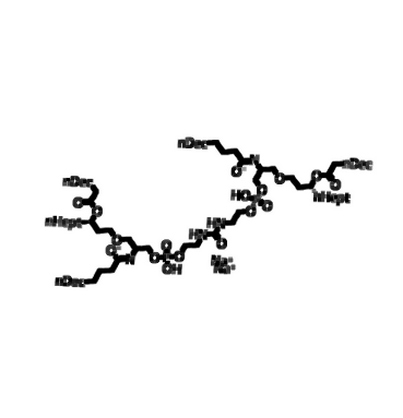 CCCCCCCCCCCCCC([O-])=NC(COCC[C@@H](CCCCCCC)OC(=O)CCCCCCCCCCC)COP(=O)(O)OCCNC(=O)NCCOP(=O)(O)OCC(COCC[C@@H](CCCCCCC)OC(=O)CCCCCCCCCCC)N=C([O-])CCCCCCCCCCCCC.[Na+].[Na+]